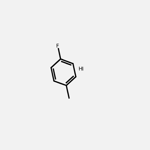 Cc1ccc(F)cc1.I